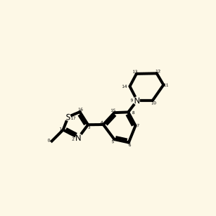 Cc1nc(-c2cccc(N3CCCCC3)c2)cs1